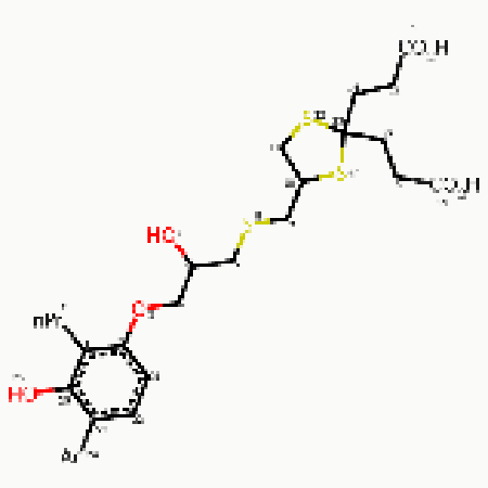 CCCc1c(OCC(O)CSCC2CSC(CCC(=O)O)(CCC(=O)O)S2)ccc(C(C)=O)c1O